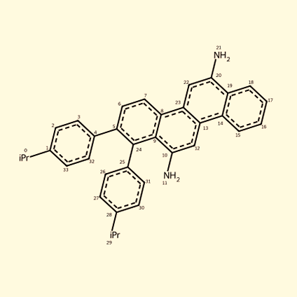 CC(C)c1ccc(-c2ccc3c(c(N)cc4c5ccccc5c(N)cc34)c2-c2ccc(C(C)C)cc2)cc1